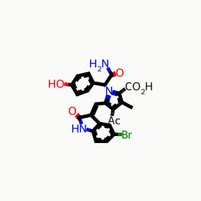 CC(=O)c1c(C)c(C(=O)O)n(C(C(N)=O)c2ccc(O)cc2)c1C=C1C(=O)Nc2ccc(Br)cc21